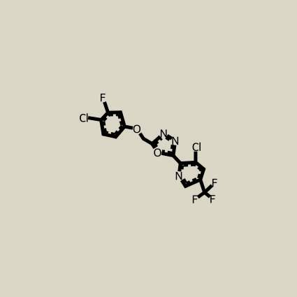 Fc1cc(OCc2nnc(-c3ncc(C(F)(F)F)cc3Cl)o2)ccc1Cl